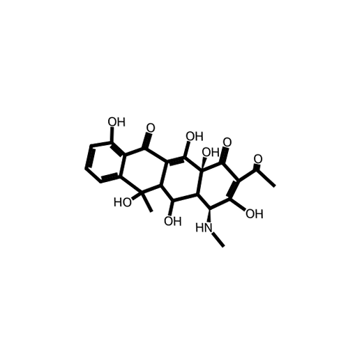 CN[C@@H]1C(O)=C(C(C)=O)C(=O)[C@@]2(O)C(O)=C3C(=O)c4c(O)cccc4C(C)(O)C3C(O)C12